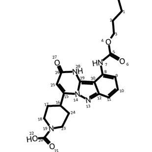 CCCCOC(=O)Nc1cccc2nn3c(C4CCN(C(=O)O)CC4)cc(=O)[nH]c3c12